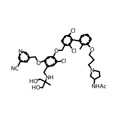 CC(=O)NC1CCN(CCCOc2cccc(-c3c(Cl)ccc(COc4cc(OCc5cncc(C#N)c5)c(CNC(C)(CO)CO)cc4Cl)c3Cl)c2C)C1